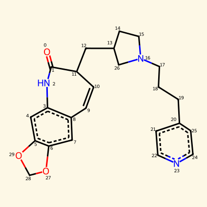 O=C1Nc2cc3c(cc2C=CC1CC1CCN(CCCc2ccncc2)C1)OCO3